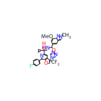 COc1cc(C(=O)NCC(O)(c2cc3c(c(-c4ccc(F)cc4)n2)OC[C@@]3(n2cnnc2)C(F)(F)F)C2CC2)cc2cn(C)nc12